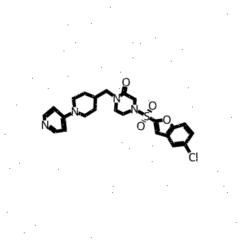 O=C1CN(S(=O)(=O)c2cc3cc(Cl)ccc3o2)CCN1CC1CCN(c2ccncc2)CC1